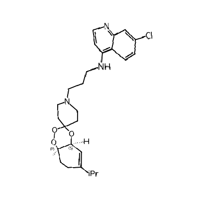 CC(C)C1=C[C@@H]2OC3(CCN(CCCNc4ccnc5cc(Cl)ccc45)CC3)OO[C@]2(C)CC1